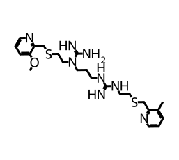 COc1cccnc1CSCCN(CCCNC(=N)NCCSCc1ncccc1C)C(=N)N